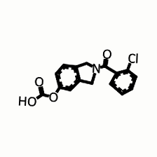 O=C(O)Oc1ccc2c(c1)CN(C(=O)c1ccccc1Cl)C2